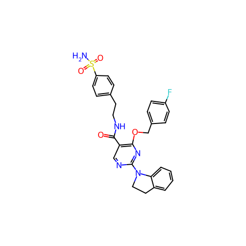 NS(=O)(=O)c1ccc(CCNC(=O)c2cnc(N3CCc4ccccc43)nc2OCc2ccc(F)cc2)cc1